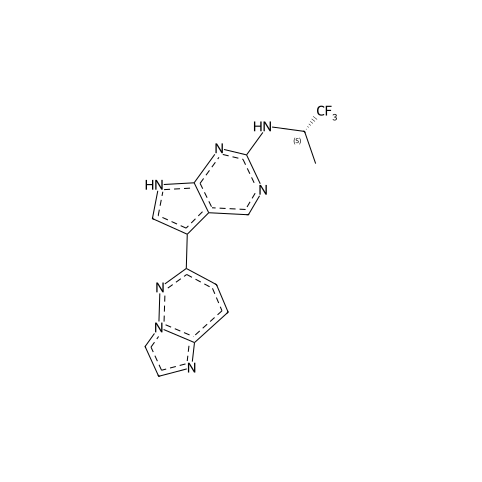 C[C@H](Nc1ncc2c(-c3ccc4nccn4n3)c[nH]c2n1)C(F)(F)F